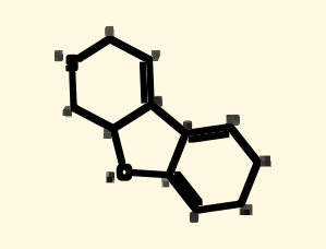 C1=C2OC3CSCC=C3C2=CCC1